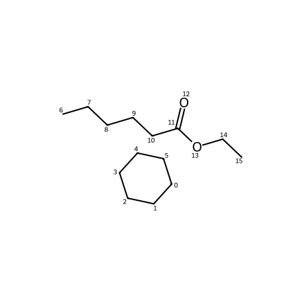 C1CCCCC1.CCCCCC(=O)OCC